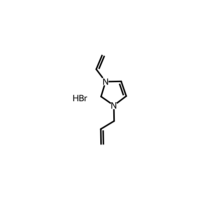 Br.C=CCN1C=CN(C=C)C1